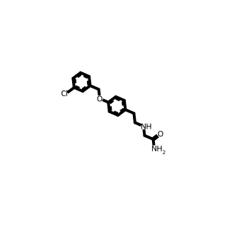 NC(=O)CNCCc1ccc(OCc2cccc(Cl)c2)cc1